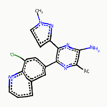 CC(=O)c1nc(-c2cc(Cl)c3ncccc3c2)c(-c2ccn(C)n2)nc1N